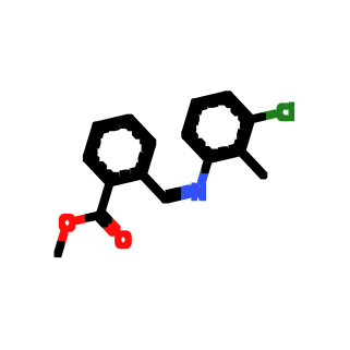 COC(=O)c1ccccc1/C=N\c1cccc(Cl)c1C